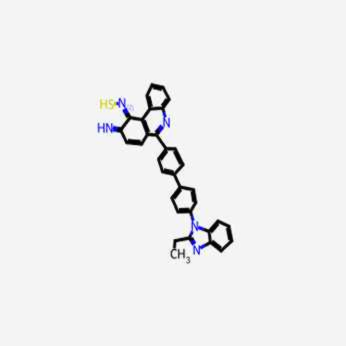 CCc1nc2ccccc2n1-c1ccc(-c2ccc(-c3nc4ccccc4c4c3C=CC(=N)/C4=N\S)cc2)cc1